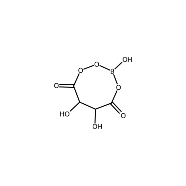 O=C1OOB(O)OC(=O)C(O)C1O